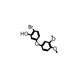 COc1ccc(Oc2ccc(Br)c(O)c2)cc1OC